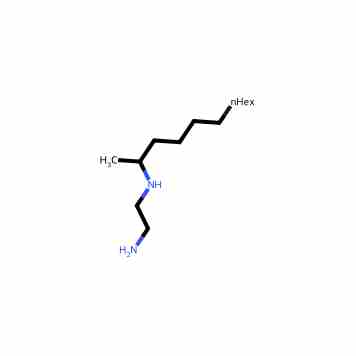 CCCCCCCCCCC(C)NCCN